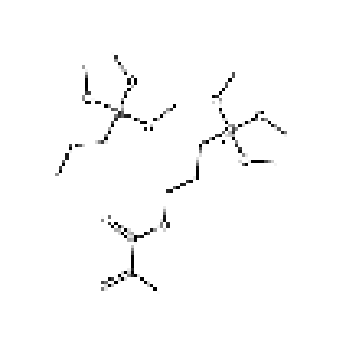 C=C(C)C(=O)OCCC[Si](OC)(OC)OC.CCC[Si](OC)(OC)OC